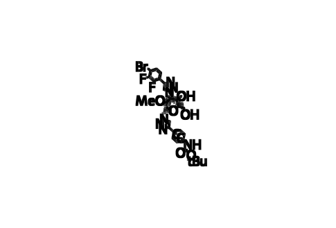 CO[C@@H]1[C@@H](n2cc(-c3ccc(Br)c(F)c3F)nn2)[C@@H](O)[C@@H](CO)O[C@@H]1Cn1cc(C23CCC(NC(=O)OC(C)(C)C)(CC2)CC3)nn1